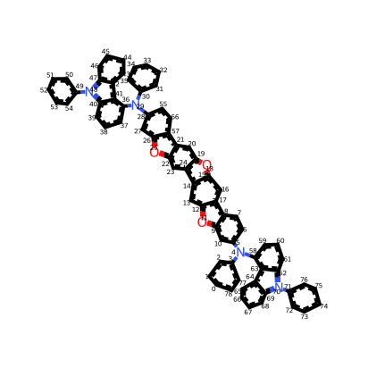 c1ccc(N(c2ccc3c(c2)oc2cc4c(cc23)oc2cc3c(cc24)oc2cc(N(c4ccccc4)c4cccc5c4c4ccccc4n5-c4ccccc4)ccc23)c2cccc3c2c2ccccc2n3-c2ccccc2)cc1